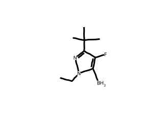 Bc1c(F)c(C(C)(C)C)nn1CC